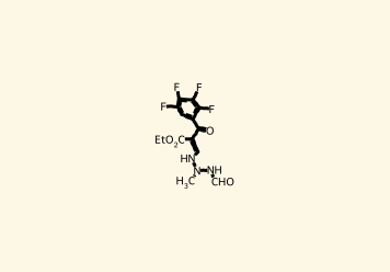 CCOC(=O)/C(=C\NN(C)NC=O)C(=O)c1cc(F)c(F)c(F)c1F